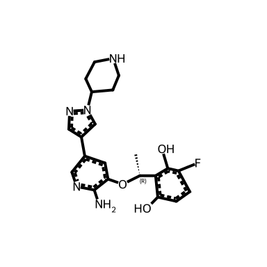 C[C@@H](Oc1cc(-c2cnn(C3CCNCC3)c2)cnc1N)c1c(O)ccc(F)c1O